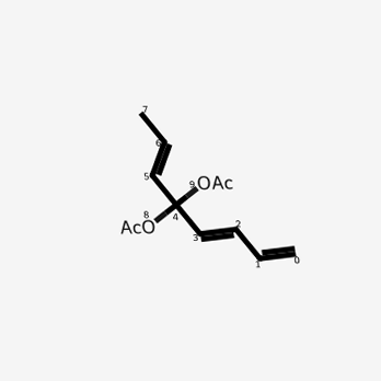 C=CC=CC(C=CC)(OC(C)=O)OC(C)=O